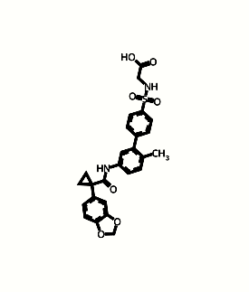 Cc1ccc(NC(=O)C2(c3ccc4c(c3)OCO4)CC2)cc1-c1ccc(S(=O)(=O)NCC(=O)O)cc1